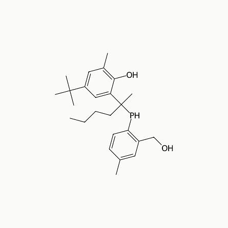 CCCCC(C)(Pc1ccc(C)cc1CO)c1cc(C(C)(C)C)cc(C)c1O